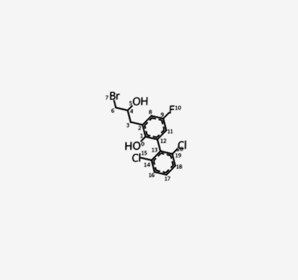 Oc1c(CC(O)CBr)cc(F)cc1-c1c(Cl)cccc1Cl